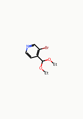 CCOC(OCC)c1ccncc1Br